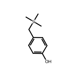 C[Si](C)(C)Cc1ccc(O)cc1